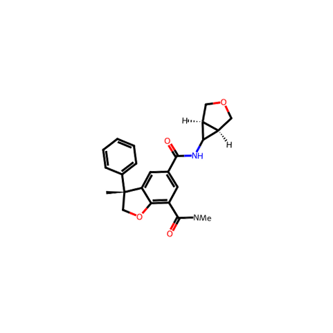 CNC(=O)c1cc(C(=O)NC2[C@H]3COC[C@@H]23)cc2c1OC[C@]2(C)c1ccccc1